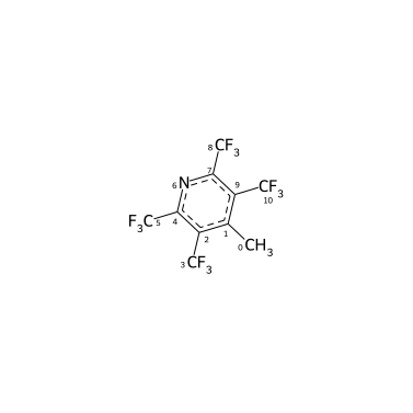 Cc1c(C(F)(F)F)c(C(F)(F)F)nc(C(F)(F)F)c1C(F)(F)F